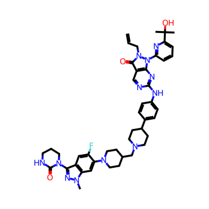 C=CCn1c(=O)c2cnc(Nc3ccc(C4CCN(CC5CCN(c6cc7c(cc6F)c(N6CCCNC6=O)nn7C)CC5)CC4)cc3)nc2n1-c1cccc(C(C)(C)O)n1